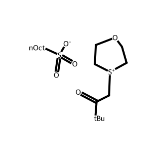 CC(C)(C)C(=O)C[S+]1CCOCC1.CCCCCCCCS(=O)(=O)[O-]